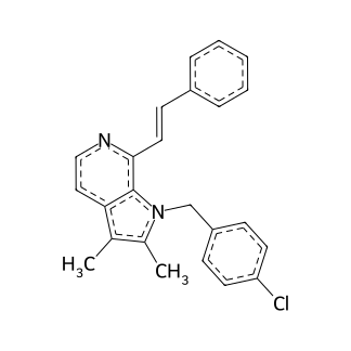 Cc1c(C)n(Cc2ccc(Cl)cc2)c2c(C=Cc3ccccc3)nccc12